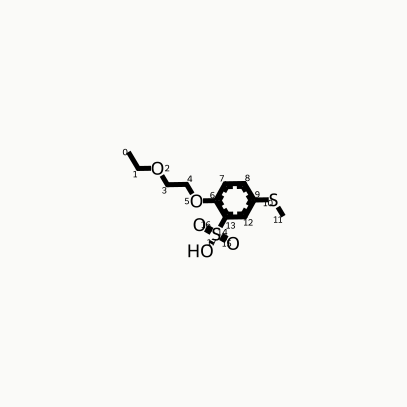 CCOCCOc1ccc(SC)cc1S(=O)(=O)O